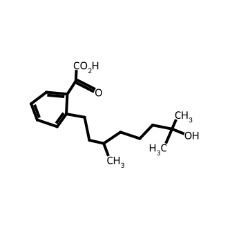 CC(CCCC(C)(C)O)CCc1ccccc1C(=O)C(=O)O